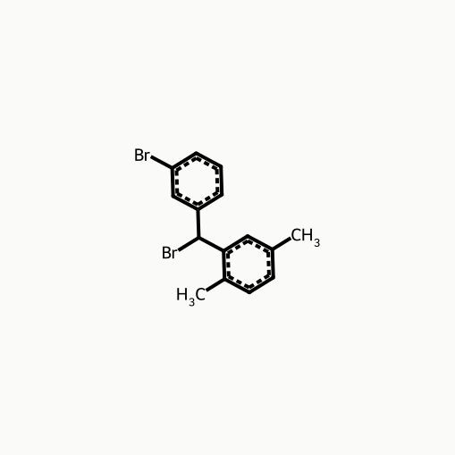 Cc1ccc(C)c(C(Br)c2cccc(Br)c2)c1